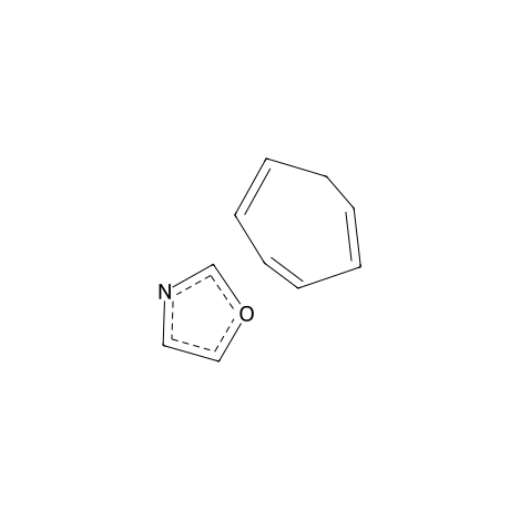 C1=CC=CCC=C1.c1cocn1